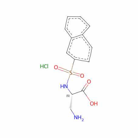 Cl.NC[C@H](NS(=O)(=O)c1ccc2ccccc2c1)C(=O)O